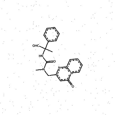 CN(Cc1cc(=O)n2ccccc2n1)C(=O)NC(C)(C=O)c1ccccc1